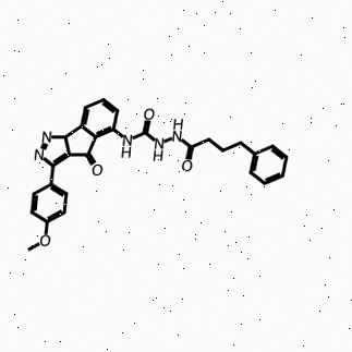 COc1ccc(C2=C3C(=O)c4c(NC(=O)NNC(=O)CCCc5ccccc5)cccc4C3N=N2)cc1